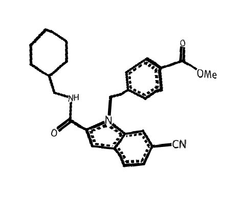 COC(=O)c1ccc(Cn2c(C(=O)NCC3CCCCC3)cc3ccc(C#N)cc32)cc1